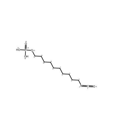 O=C=NCCCCCCCCCCOP(=O)(O)O